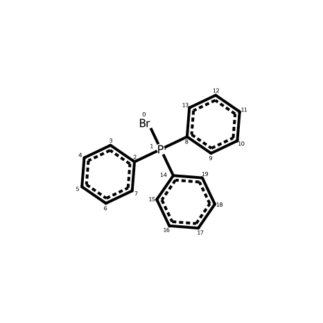 Br[P](c1ccccc1)(c1ccccc1)c1ccccc1